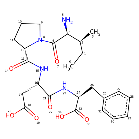 CC[C@H](C)[C@H](N)C(=O)N1CCC[C@H]1C(=O)N[C@@H](CC(=O)O)C(=O)N[C@@H](Cc1ccccc1)C(=O)O